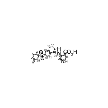 Cc1cccc(S(=O)(=O)c2ccc3c(c2)CCC[C@@H]3CNc2cnccc2C(=O)O)c1